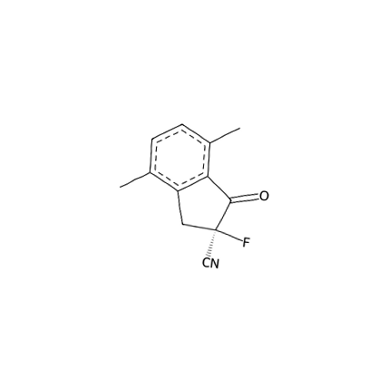 Cc1ccc(C)c2c1C[C@@](F)(C#N)C2=O